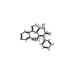 Cc1ccccc1-c1csc2[nH]c(=O)c(-c3ccccc3)c(O)c12